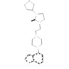 O=C1N(CCN2CCN(c3cccc4[nH]ccc34)CC2)CCN1C1CCCC1